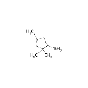 BC1CN(C)CC1(C)C